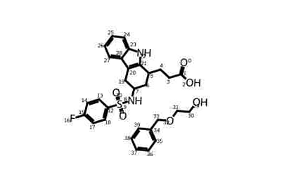 O=C(O)CCC1CC(NS(=O)(=O)c2ccc(F)cc2)Cc2c1[nH]c1ccccc21.OCCOCc1ccccc1